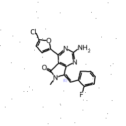 CN1C(=O)c2c(nc(N)nc2-c2ccc(Cl)o2)/C1=C\c1ccccc1F